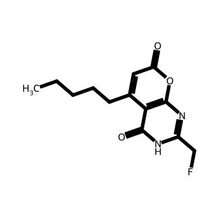 CCCCCc1cc(=O)oc2nc(CF)[nH]c(=O)c12